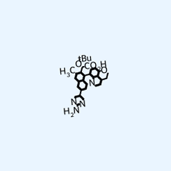 Cc1cc2cc(-c3cnc(N)nc3)ccc2c(-c2ccc3c4c(ccnc24)CCO3)c1C(OC(C)(C)C)C(=O)O